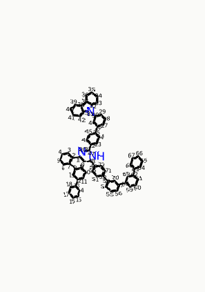 C1=C(c2ccccc2-c2cccc(-c3ccccc3)c2)N=C(c2ccc(-c3cccc(-n4c5ccccc5c5ccccc54)c3)cc2)NC1c1ccc(-c2cccc(-c3cccc(-c4ccccc4)c3)c2)cc1